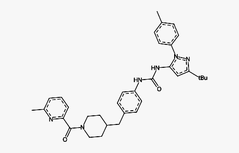 Cc1ccc(-n2nc(C(C)(C)C)cc2NC(=O)Nc2ccc(CC3CCN(C(=O)c4cccc(C)n4)CC3)cc2)cc1